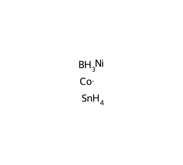 B.[Co].[Ni].[SnH4]